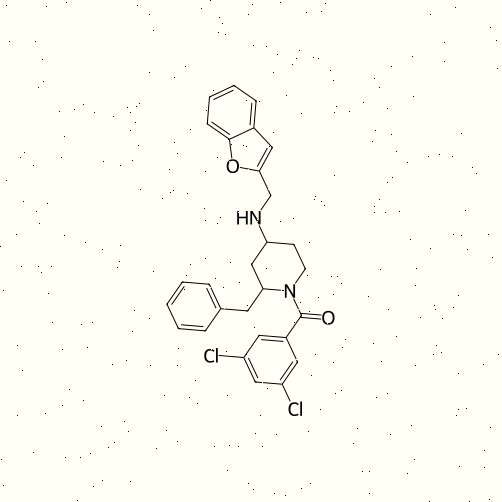 O=C(c1cc(Cl)cc(Cl)c1)N1CCC(NCc2cc3ccccc3o2)CC1Cc1ccccc1